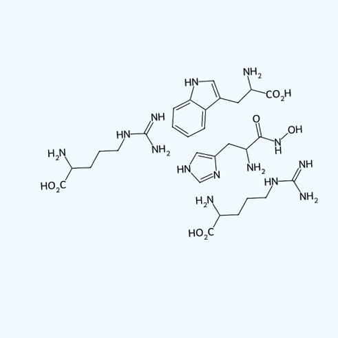 N=C(N)NCCCC(N)C(=O)O.N=C(N)NCCCC(N)C(=O)O.NC(Cc1c[nH]c2ccccc12)C(=O)O.NC(Cc1c[nH]cn1)C(=O)NO